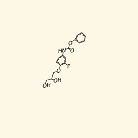 O=C(Nc1ccc(OCC(O)CO)c(F)c1)Oc1ccccc1